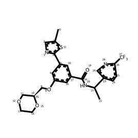 Cc1cnc(-c2cc(OC[C@@H]3COCCO3)cc(C(=O)NC(C)c3ccc(C(F)(F)F)nc3)c2)s1